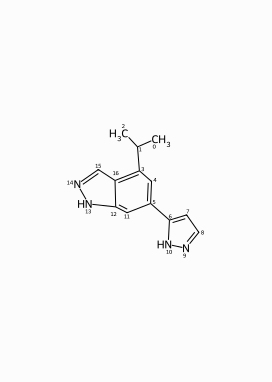 CC(C)c1cc(-c2ccn[nH]2)cc2[nH]ncc12